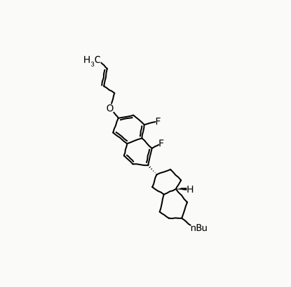 C/C=C/COc1cc(F)c2c(F)c([C@@H]3CC[C@@H]4CC(CCCC)CCC4C3)ccc2c1